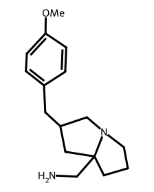 COc1ccc(CC2CN3CCCC3(CN)C2)cc1